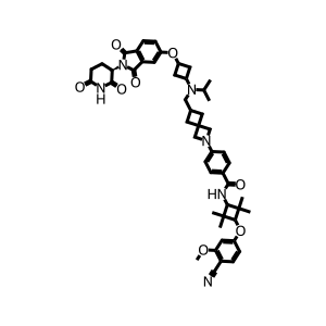 COc1cc(OC2C(C)(C)C(NC(=O)c3ccc(N4CC5(CC(CN(C(C)C)C6CC(Oc7ccc8c(c7)C(=O)N([C@@H]7CCC(=O)NC7=O)C8=O)C6)C5)C4)cc3)C2(C)C)ccc1C#N